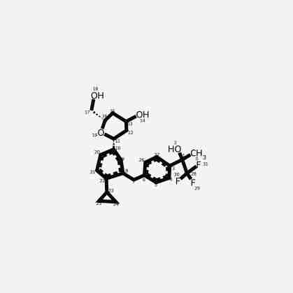 CC(O)(c1ccc(Cc2cc([C@H]3CC(O)C[C@@H](CO)O3)ccc2C2CC2)cc1)C(F)(F)F